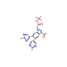 CC(=O)c1cn(CC(=O)OC(C)(C)C)c2cc(-c3cnc(C)nc3)c(-c3cnc(C)nc3)cc12